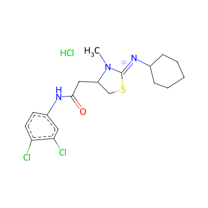 CN1/C(=N/C2CCCCC2)SCC1CC(=O)Nc1ccc(Cl)c(Cl)c1.Cl